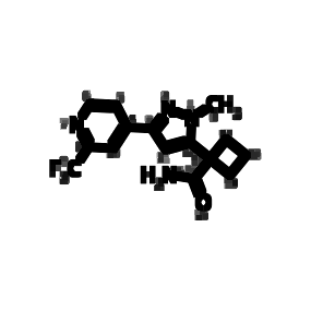 Cn1nc(-c2ccnc(C(F)(F)F)c2)cc1C1(C(N)=O)CCC1